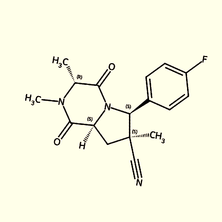 C[C@@H]1C(=O)N2[C@@H](c3ccc(F)cc3)[C@@](C)(C#N)C[C@H]2C(=O)N1C